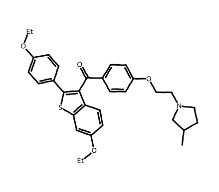 CCOc1ccc(-c2sc3cc(OCC)ccc3c2C(=O)c2ccc(OCCN3CCC(C)C3)cc2)cc1